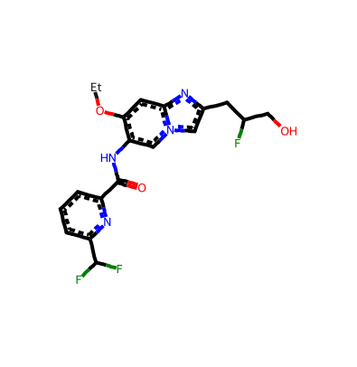 CCOc1cc2nc(CC(F)CO)cn2cc1NC(=O)c1cccc(C(F)F)n1